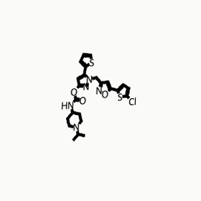 CC(C)N1CCC(NC(=O)Oc2cc(-c3cccs3)n(Cc3cc(-c4ccc(Cl)s4)on3)n2)CC1